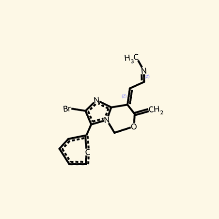 C=C1OCn2c(nc(Br)c2-c2ccccc2)/C1=C/C=N\C